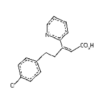 O=C(O)C=C(CCc1ccc(Cl)cc1)c1ccccn1